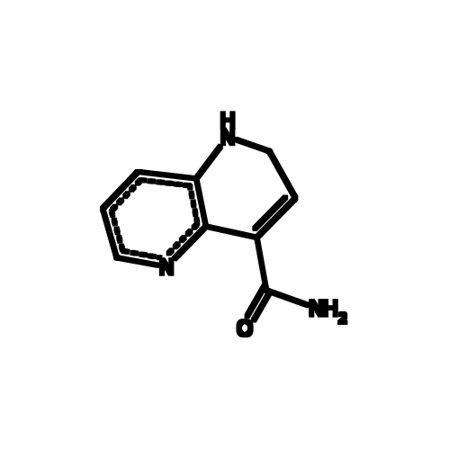 NC(=O)C1=CCNc2cccnc21